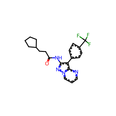 O=C(CCC1CCCC1)Nc1nn2cccnc2c1-c1ccc(C(F)(F)F)cc1